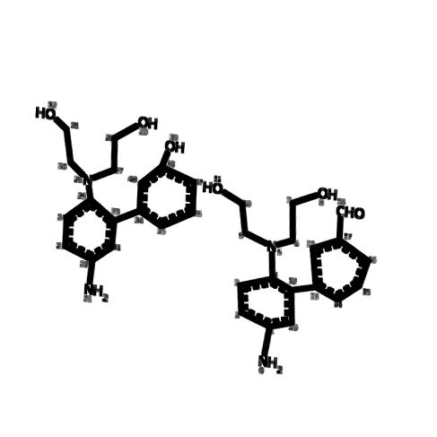 Nc1ccc(N(CCO)CCO)c(-c2cccc(C=O)c2)c1.Nc1ccc(N(CCO)CCO)c(-c2cccc(O)c2)c1